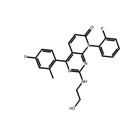 Cc1cc(F)ccc1-c1nc(NCCO)nc2c1ccc(=O)n2-c1ccccc1F